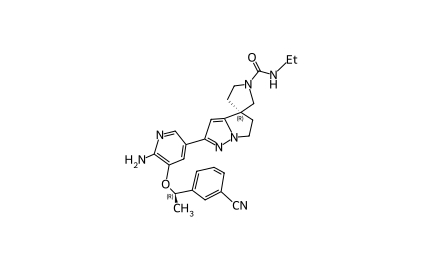 CCNC(=O)N1CC[C@@]2(CCn3nc(-c4cnc(N)c(O[C@H](C)c5cccc(C#N)c5)c4)cc32)C1